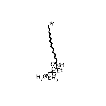 CCC(NC(=O)CCCCCCCCCCCCCCC(C)C)OC(=O)CN(C)C